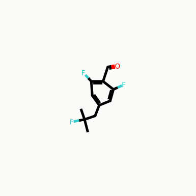 CC(C)(F)Cc1cc(F)c(C=O)c(F)c1